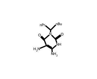 CCCCC(CCC)n1c(=O)[nH]c(N)c(N)c1=O